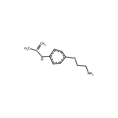 C=S(C)Nc1ccc(SCCN)cc1